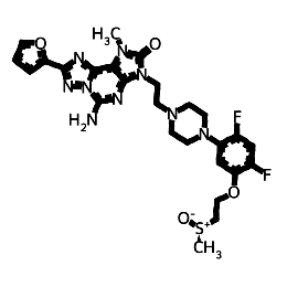 Cn1c(=O)n(CCN2CCN(c3cc(OCC[S@+](C)[O-])c(F)cc3F)CC2)c2nc(N)n3nc(-c4ccco4)nc3c21